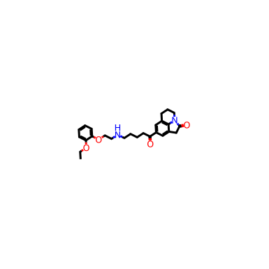 CCOc1ccccc1OCCNCCCCC(=O)c1cc2c3c(c1)CC(=O)N3CCC2